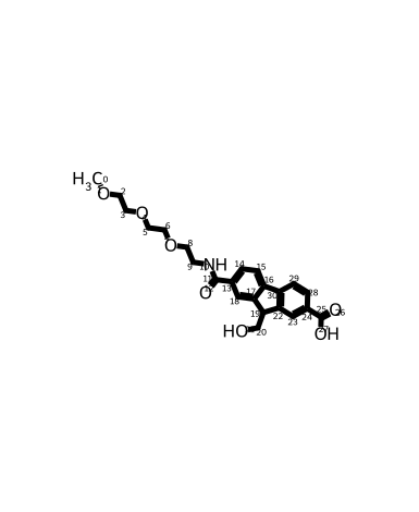 COCCOCCOCCNC(=O)c1ccc2c(c1)C(CO)c1cc(C(=O)O)ccc1-2